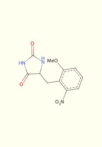 COc1cccc([N+](=O)[O-])c1CC1NC(=O)NC1=O